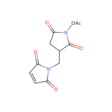 CC(=O)ON1C(=O)CC(CN2C(=O)C=CC2=O)C1=O